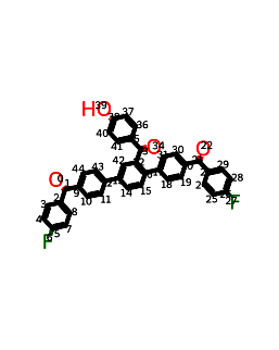 O=C(c1ccc(F)cc1)c1ccc(-c2ccc(-c3ccc(C(=O)c4ccc(F)cc4)cc3)c(C(=O)c3ccc(O)cc3)c2)cc1